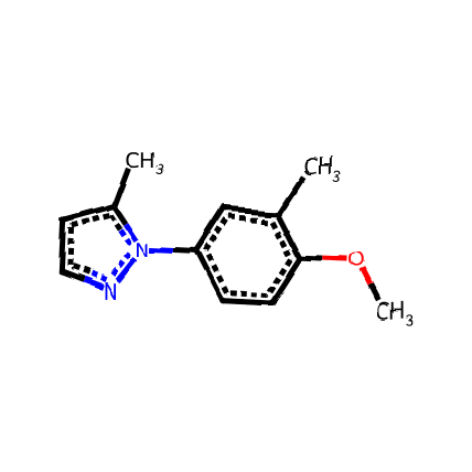 COc1ccc(-n2nccc2C)cc1C